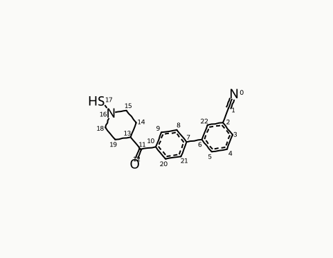 N#Cc1cccc(-c2ccc(C(=O)C3CCN(S)CC3)cc2)c1